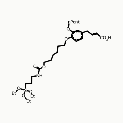 CCCCCOc1cc(CC=CC(=O)O)ccc1OCCCCCCOC(=O)NCCC[Si](OCC)(OCC)OCC